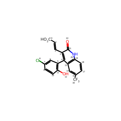 O=C(O)C=Cc1c(-c2cc(Cl)ccc2O)c2cc(C(F)(F)F)ccc2[nH]c1=O